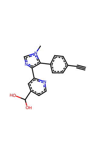 C#Cc1ccc(-c2c(-c3cc(C(O)O)ccn3)ncn2C)cc1